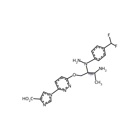 C/C(N)=C(\COc1ccc(-n2cnc(C(=O)O)c2)nn1)N(N)c1ccc(C(F)F)cc1